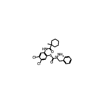 CC1(C(=O)Nc2cc(Cl)c(Cl)cc2SC(=O)[C@@H](N)Cc2ccccc2)CCCCC1